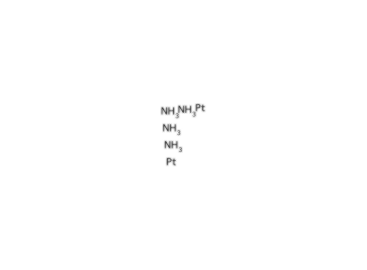 N.N.N.N.[Pt].[Pt]